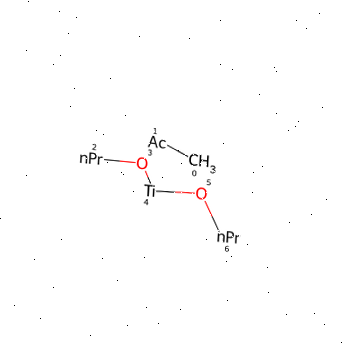 CC(C)=O.CCC[O][Ti][O]CCC